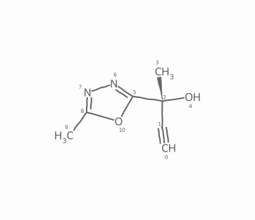 C#C[C@@](C)(O)c1nnc(C)o1